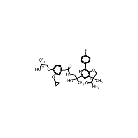 C[C@]1(C(N)=O)COc2c1cc(C(O)(CNC(=O)c1ccc(OC[C@H](O)C(F)(F)F)c(OC3CC3)c1)C(F)(F)F)nc2-c1ccc(F)cc1